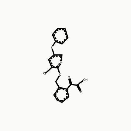 O=C(O)C(=O)c1ccccc1COc1ncc(Sc2ccccc2)cc1Cl